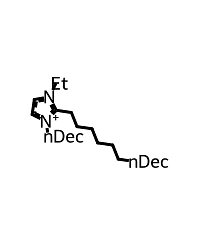 CCCCCCCCCCCCCCCCc1n(CC)cc[n+]1CCCCCCCCCC